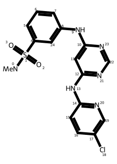 CNS(=O)(=O)c1cccc(Nc2cc(Nc3ccc(Cl)cn3)ncn2)c1